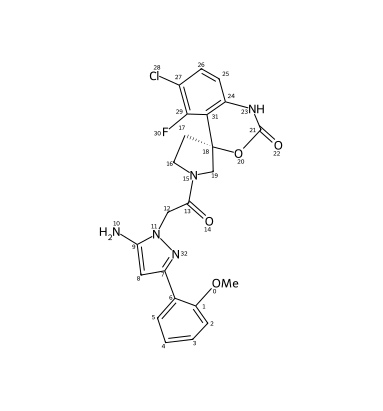 COc1ccccc1-c1cc(N)n(CC(=O)N2CC[C@@]3(C2)OC(=O)Nc2ccc(Cl)c(F)c23)n1